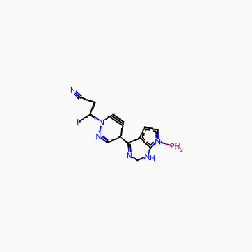 N#CCC(I)N1C#C[C@@H](C2=NCNc3c2ccn3P)C=N1